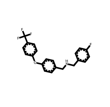 Fc1ccc(CNCc2ccc(Oc3ccc(C(F)(F)F)cc3)cc2)cc1